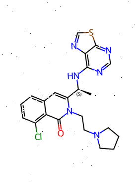 C[C@H](Nc1ncnc2scnc12)c1cc2cccc(Cl)c2c(=O)n1CCN1CCCC1